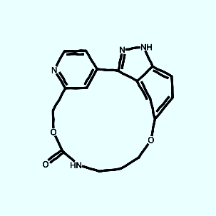 O=C1NCCCOc2ccc3[nH]nc(c3c2)-c2ccnc(c2)CO1